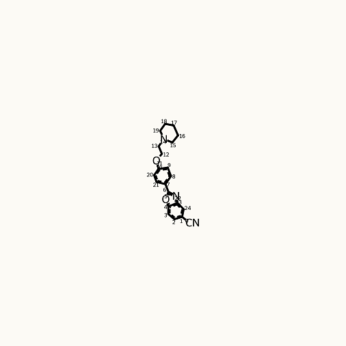 N#Cc1ccc2oc(-c3ccc(OCCN4CCCCC4)cc3)nc2c1